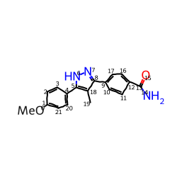 COc1ccc(-c2[nH]nc(-c3ccc(C(N)=O)cc3)c2C)cc1